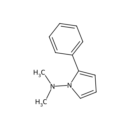 CN(C)n1cccc1-c1ccccc1